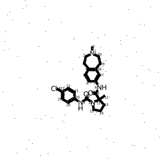 CN1CCc2ccc(NC(=O)C3(C)CCCN3C(=O)Nc3ccc(Cl)cc3)cc2CC1